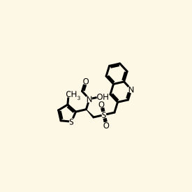 Cc1ccsc1[C@H](CS(=O)(=O)Cc1cnc2ccccc2c1)N(O)C=O